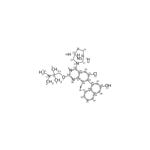 CN(C)C(C)(C)COc1nc(N2C[C@H]3CC[C@@H](C2)N3)c2cc(Cl)c(-c3cc(O)cc4ccccc34)c(F)c2n1